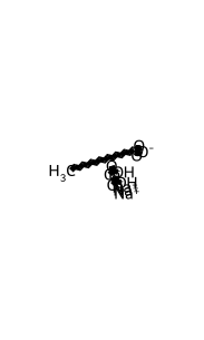 CCCCCCCCCCCCCCCCS(=O)(=O)[O-].O=C([O-])O.O=C([O-])O.[Na+].[Na+].[Na+]